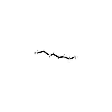 CCCCOCCOPO